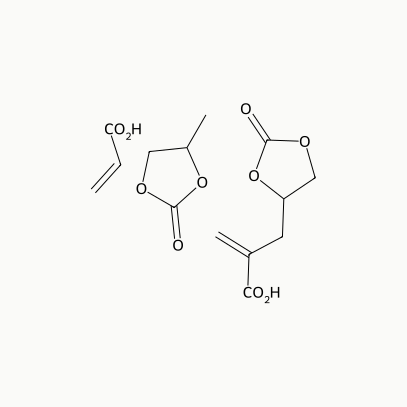 C=C(CC1COC(=O)O1)C(=O)O.C=CC(=O)O.CC1COC(=O)O1